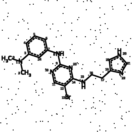 CN(C)c1cccc(Nc2ncc(Br)c(NCCc3c[nH]cn3)n2)c1